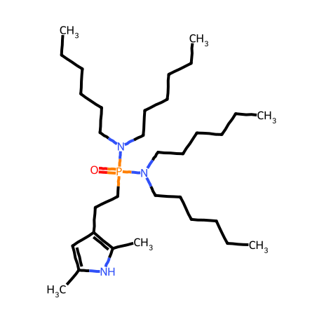 CCCCCCN(CCCCCC)P(=O)(CCc1cc(C)[nH]c1C)N(CCCCCC)CCCCCC